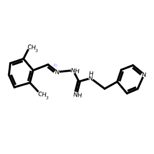 Cc1cccc(C)c1/C=N/NC(=N)NCc1ccncc1